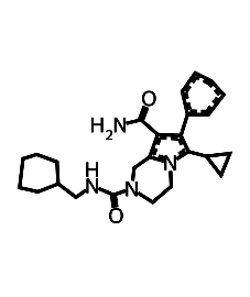 NC(=O)c1c(-c2ccccc2)c(C2CC2)n2c1CN(C(=O)NCC1CCCCC1)CC2